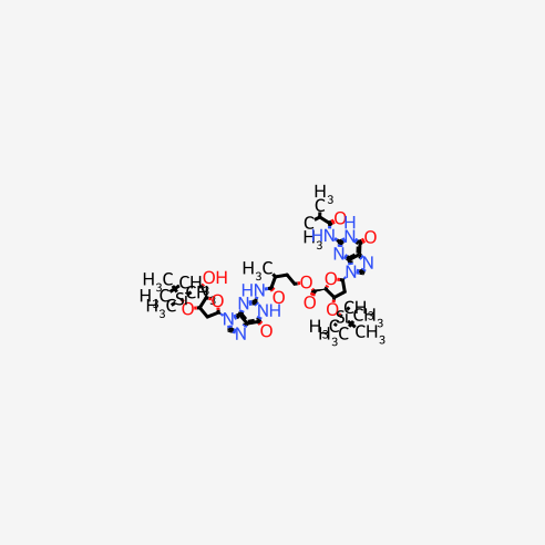 CC(C)C(=O)Nc1nc2c(ncn2[C@H]2CC(O[Si](C)(C)C(C)(C)C)[C@@H](C(=O)OCCC(C)C(=O)Nc3nc4c(ncn4[C@H]4CC(O[Si](C)(C)C(C)(C)C)[C@@H](CO)O4)c(=O)[nH]3)O2)c(=O)[nH]1